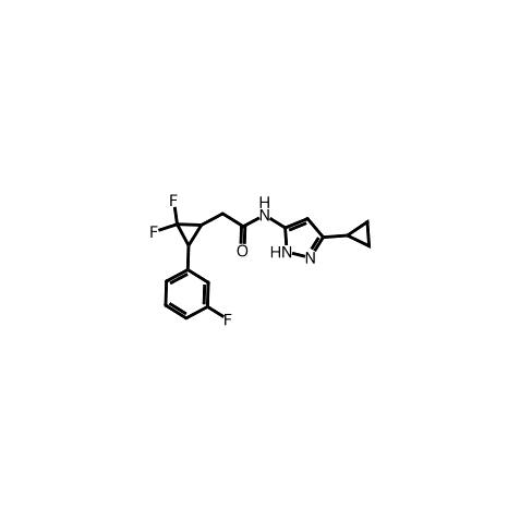 O=C(CC1C(c2cccc(F)c2)C1(F)F)Nc1cc(C2CC2)n[nH]1